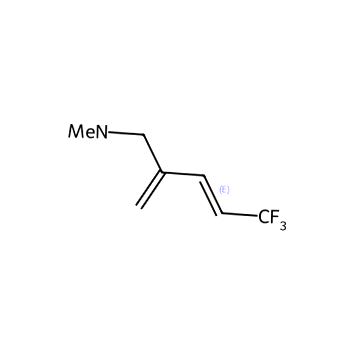 C=C(/C=C/C(F)(F)F)CNC